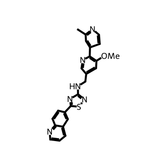 COc1cc(CNc2nsc(-c3ccc4ncccc4c3)n2)cnc1-c1ccnc(C)c1